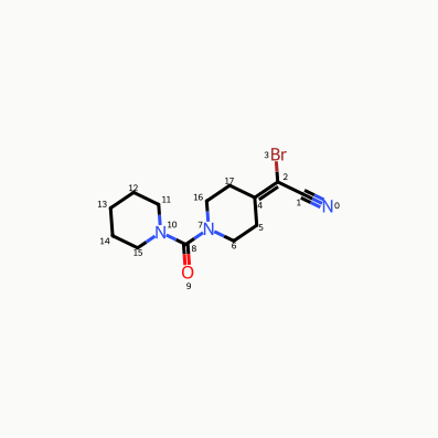 N#CC(Br)=C1CCN(C(=O)N2CCCCC2)CC1